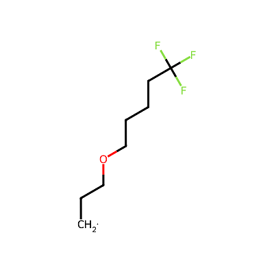 [CH2]CCOCCCCC(F)(F)F